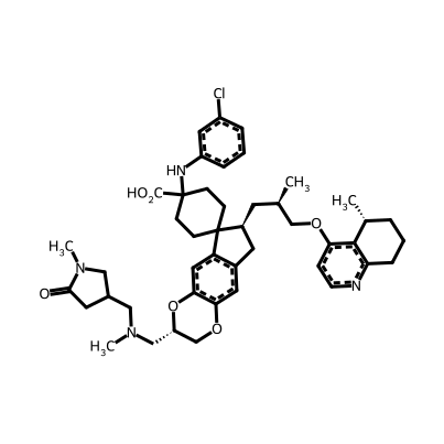 C[C@@H](COc1ccnc2c1[C@H](C)CCC2)C[C@H]1Cc2cc3c(cc2C12CCC(Nc1cccc(Cl)c1)(C(=O)O)CC2)O[C@@H](CN(C)CC1CC(=O)N(C)C1)CO3